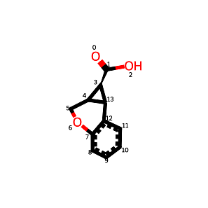 O=C(O)[C@@H]1C2COc3ccccc3C21